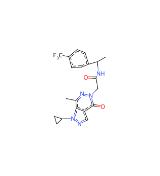 Cc1nn(CC(=O)NC(C)c2ccc(C(F)(F)F)cc2)c(=O)c2cnn(C3CC3)c12